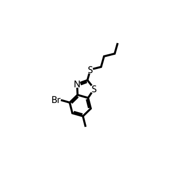 CCCCSc1nc2c(Br)cc(C)cc2s1